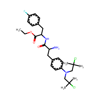 BC(B)(Cl)CN(CC(B)(B)Cl)c1ccc(CC(N)C(=O)NC(Cc2ccc(F)cc2)C(=O)OCC)cc1